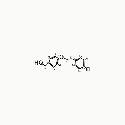 OCc1ccc(OCCc2ccc(Cl)cc2)cc1